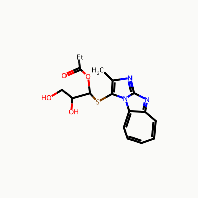 CCC(=O)OC(Sc1c(C)nc2nc3cccccc3n12)C(O)CO